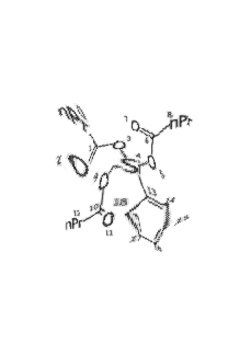 CCCC(=O)O[Si](OC(=O)CCC)(OC(=O)CCC)c1ccccc1